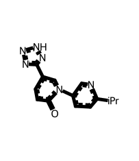 CC(C)c1ccc(-n2cc(-c3nn[nH]n3)ccc2=O)cn1